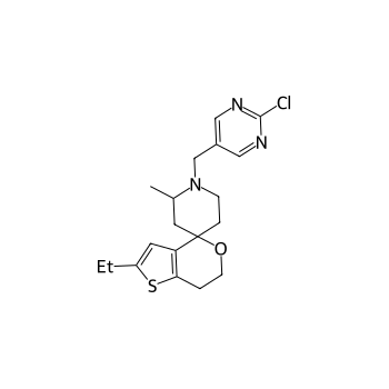 CCc1cc2c(s1)CCOC21CCN(Cc2cnc(Cl)nc2)C(C)C1